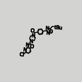 CC(C)(C)Cc1nc(-c2ccc(C(=O)N3CCN(c4nc5nc(Cl)ccc5o4)CC3)cc2)no1